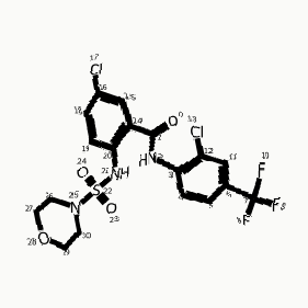 O=C(Nc1ccc(C(F)(F)F)cc1Cl)c1cc(Cl)ccc1NS(=O)(=O)N1CCOCC1